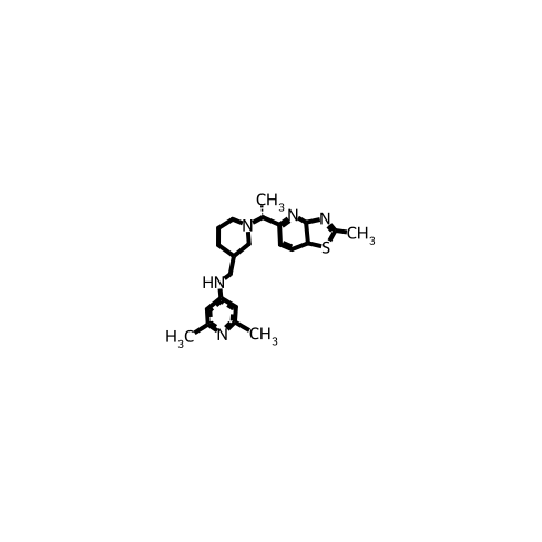 CC1=NC2N=C([C@@H](C)N3CCCC(CNc4cc(C)nc(C)c4)C3)C=CC2S1